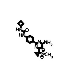 CS(=O)(=O)C1(c2cc(N)nc(-c3ccc(NC(=O)NC4CCC4)cc3)n2)CC1